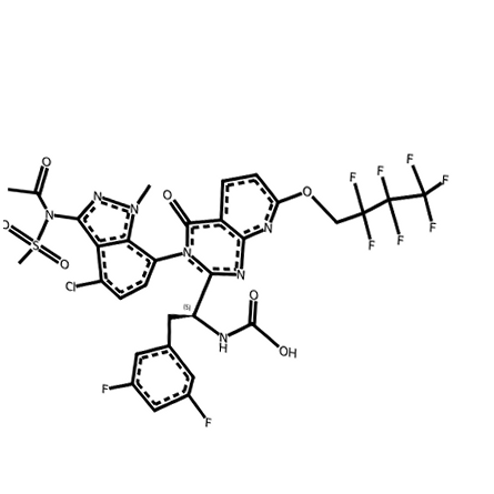 CC(=O)N(c1nn(C)c2c(-n3c([C@H](Cc4cc(F)cc(F)c4)NC(=O)O)nc4nc(OCC(F)(F)C(F)(F)C(F)(F)F)ccc4c3=O)ccc(Cl)c12)S(C)(=O)=O